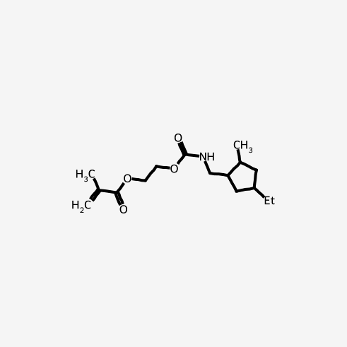 C=C(C)C(=O)OCCOC(=O)NCC1CC(CC)CC1C